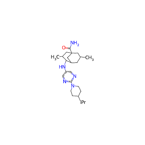 CC1CC2CC(C(N)=O)(C1)CC(C)C2Nc1cnc(N2CCC(C(C)C)CC2)nc1